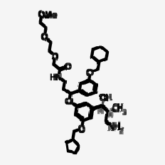 COCCOCCOCC(=O)NCCC(Oc1cc(OCC2CCCC2)cc([C@H](O)[C@H](C)CN)c1)c1cccc(OCC2CCCCC2)c1